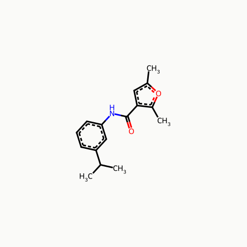 Cc1cc(C(=O)Nc2cccc(C(C)C)c2)c(C)o1